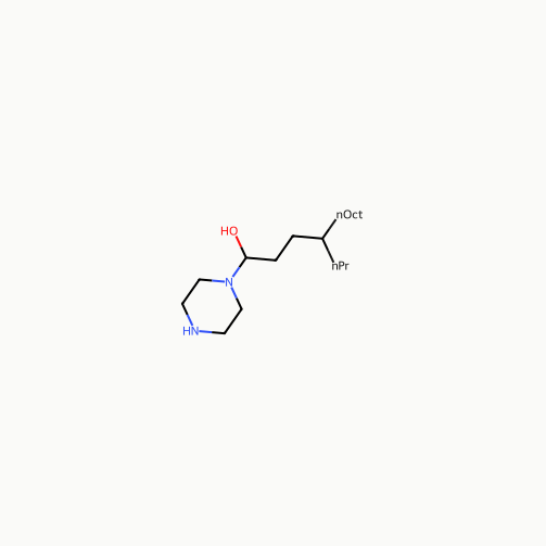 CCCCCCCCC(CCC)CCC(O)N1CCNCC1